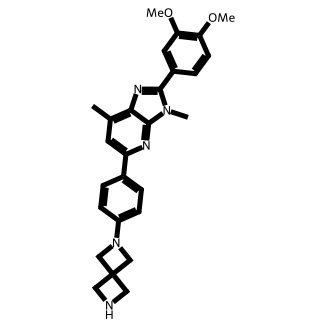 COc1ccc(-c2nc3c(C)cc(-c4ccc(N5CC6(CNC6)C5)cc4)nc3n2C)cc1OC